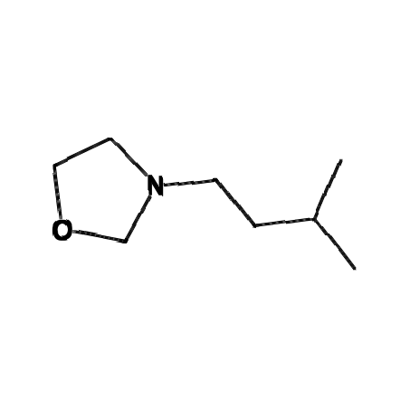 CC(C)CCN1CCOC1